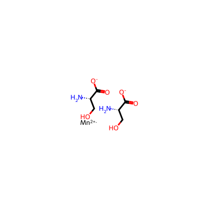 N[C@@H](CO)C(=O)[O-].N[C@@H](CO)C(=O)[O-].[Mn+2]